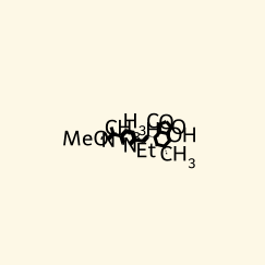 CC[C@H]1[C@H](/C=C/c2ccc(C(C)=NOC)cn2)[C@@H]2[C@@H](C)OC(=O)[C@]2(O)C[C@@H]1C